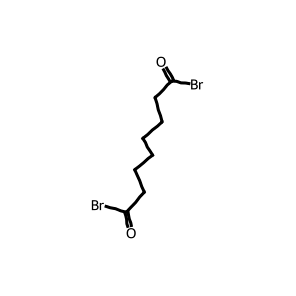 O=C(Br)CCCCCCC(=O)Br